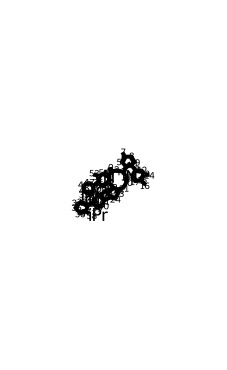 C=C1CC2c3cc(C)ccc3-c3cc(C)c(C)c[n+]3C2CCc2ccc3c(oc4nc(-c5c(C(C)C)cccc5C(C)C)ccc43)c2-c2cc(C3CCCCC3)c(C)c[n+]21